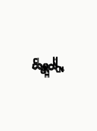 CN1CCc2c([nH]c3ccc(NS(=O)(=O)c4ccc5c(Cl)cccc5c4)cc23)C1